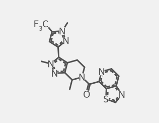 CC1c2nn(C)c(-c3cc(C(F)(F)F)n(C)n3)c2CCN1C(=O)c1nccc2ncsc12